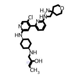 C/C=C(\O)CN[C@H]1CC[C@H](Nc2cc(-c3cccc(NCC4(N)CCOCC4)n3)c(Cl)cn2)CC1